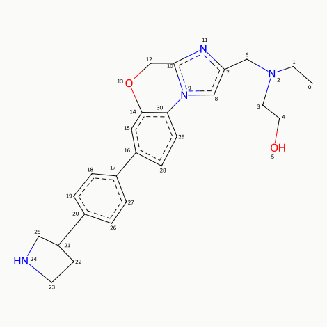 CCN(CCO)Cc1cn2c(n1)COc1cc(-c3ccc(C4CCNC4)cc3)ccc1-2